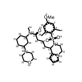 COc1cc(C)c(S(=O)(=O)N2CCn3cccc3C2CCCC(=O)N(C)C2CCCC(N3CCOCC3)C2)c(C)c1